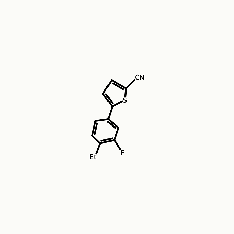 CCc1ccc(-c2ccc(C#N)s2)cc1F